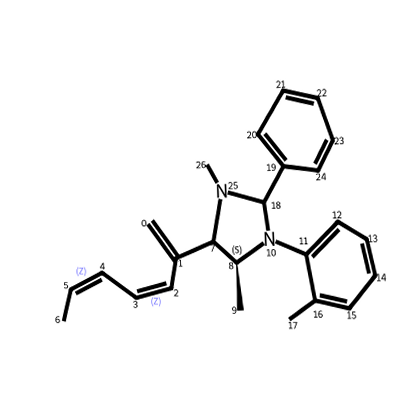 C=C(/C=C\C=C/C)C1[C@H](C)N(c2ccccc2C)C(c2ccccc2)N1C